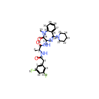 C[C@H](NC(=O)Cc1cc(F)cc(F)c1)C(=O)NC1N=C(N2CCCCC2)c2ccccc2N(C)C1=O